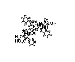 CCCC[C@H](NC(=O)[C@H](Cc1cccnc1)NC(=O)[C@H](CC)NC)C(=O)N[C@@H](Cc1ccccc1)C(=O)N[C@@](F)(CCCC)C(=O)N(C)[C@@H](Cc1cccnc1)C(=O)O